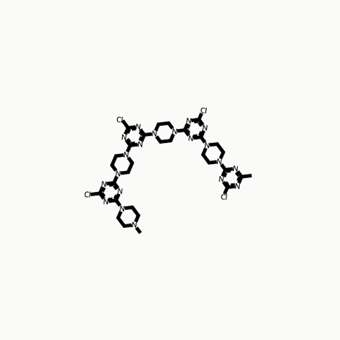 Cc1nc(Cl)nc(N2CCN(c3nc(Cl)nc(N4CCN(c5nc(Cl)nc(N6CCN(c7nc(Cl)nc(N8CCN(C)CC8)n7)CC6)n5)CC4)n3)CC2)n1